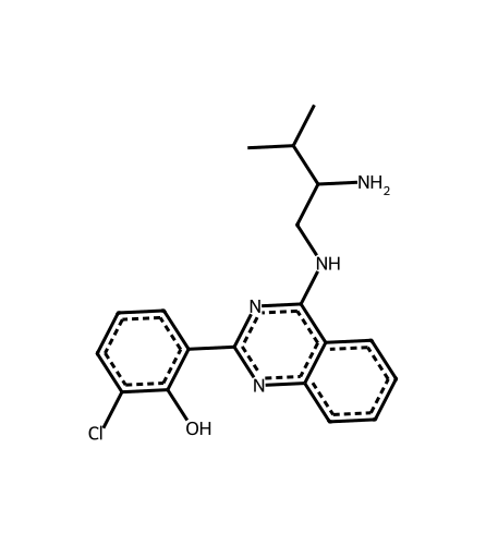 CC(C)C(N)CNc1nc(-c2cccc(Cl)c2O)nc2ccccc12